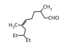 CCC(CC)C/C(C)=C\CCC(C)CC=O